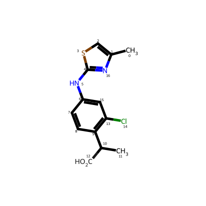 Cc1csc(Nc2ccc(C(C)C(=O)O)c(Cl)c2)n1